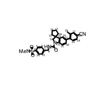 CNS(=O)(=O)c1ccc(CNC(=O)N2CC3(CCCC3)c3cc(-c4ccc(C#N)cc4C)ccc32)cc1